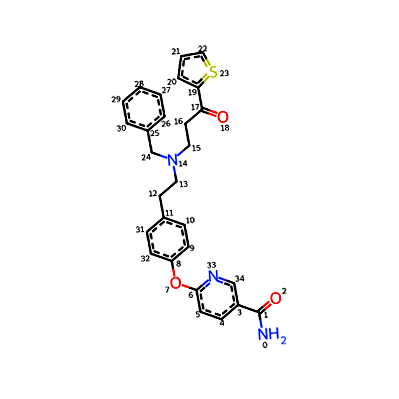 NC(=O)c1ccc(Oc2ccc(CCN(CCC(=O)c3cccs3)Cc3ccccc3)cc2)nc1